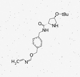 C=C/N=C\OCc1ccc(CNC(=O)[C@@H]2C[C@@H](OC(C)(C)C)CN2)cc1